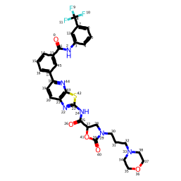 O=C(Nc1cccc(C(F)(F)F)c1)c1cccc(-c2ccc3nc(NC(=O)C4CN(CCCN5CCOCC5)C(=O)O4)sc3n2)c1